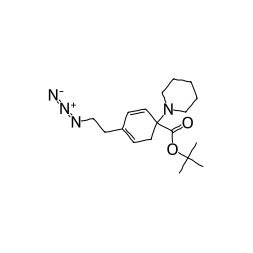 CC(C)(C)OC(=O)C1(N2CCCCC2)C=CC(CCN=[N+]=[N-])=CC1